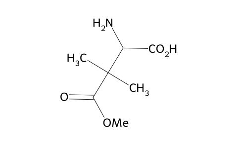 COC(=O)C(C)(C)C(N)C(=O)O